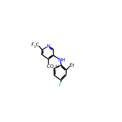 CCc1cc(F)ccc1Nc1cnc(C(F)(F)F)cc1C(=O)O